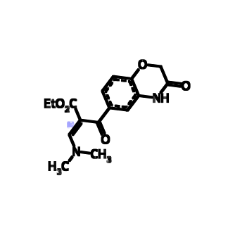 CCOC(=O)/C(=C/N(C)C)C(=O)c1ccc2c(c1)NC(=O)CO2